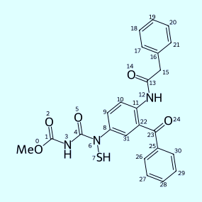 COC(=O)NC(=O)N(S)c1ccc(NC(=O)Cc2ccccc2)c(C(=O)c2ccccc2)c1